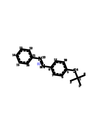 CC(C)(C)Sc1ccc(/N=N/c2ccccc2)cc1